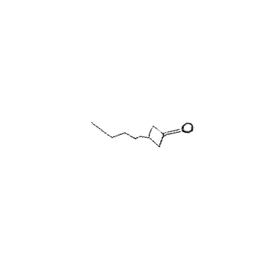 CCCCC1CC(=O)C1